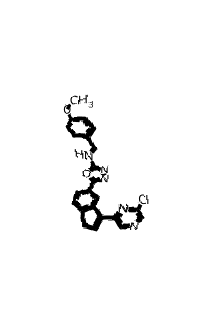 COc1ccc(CNc2nnc(-c3ccc4c(c3)C(c3cncc(Cl)n3)=CC4)o2)cc1